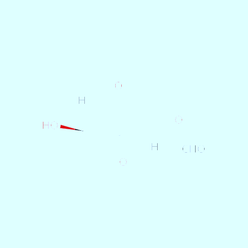 O=CO[C@H]1CO[C@H]2[C@@H]1OC[C@H]2O